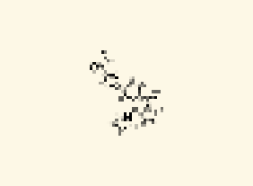 CN(C)C(=O)c1ccc(-c2ccc(C(=O)N3CCCC3CN3CCCC3)cc2)s1